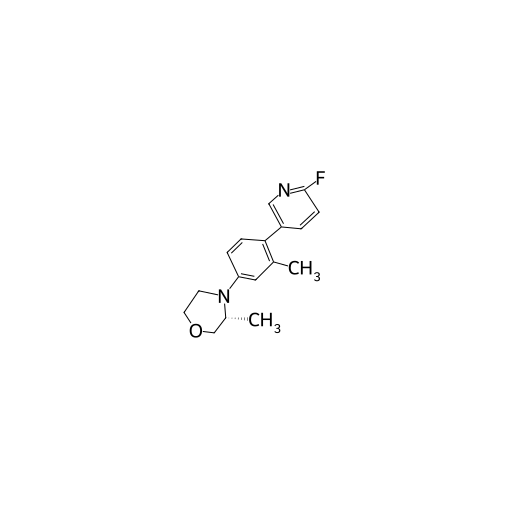 Cc1cc(N2CCOC[C@H]2C)ccc1-c1ccc(F)nc1